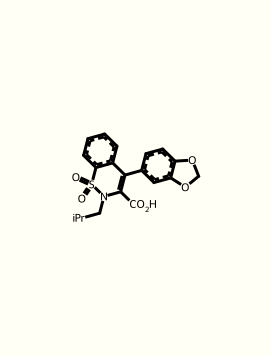 CC(C)CN1C(C(=O)O)=C(c2ccc3c(c2)OCO3)c2ccccc2S1(=O)=O